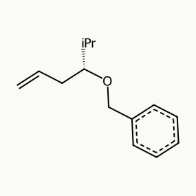 C=CC[C@@H](OCc1ccccc1)C(C)C